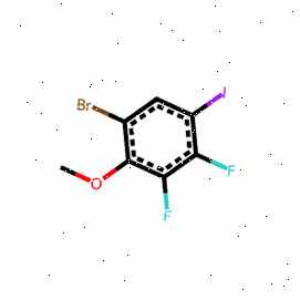 COc1c(Br)cc(I)c(F)c1F